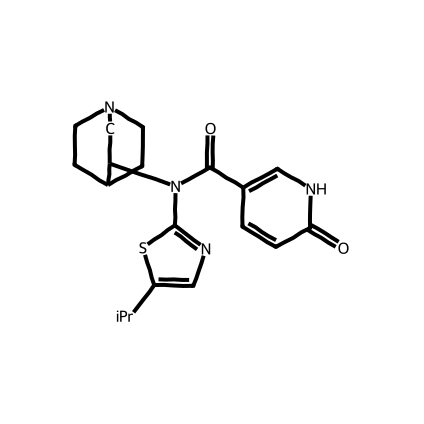 CC(C)c1cnc(N(C(=O)c2ccc(=O)[nH]c2)C2CN3CCC2CC3)s1